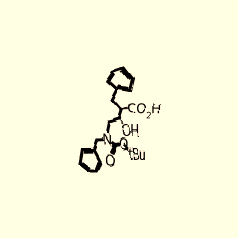 CC(C)(C)OC(=O)N(Cc1ccccc1)C[C@@H](O)[C@@H](Cc1ccccc1)C(=O)O